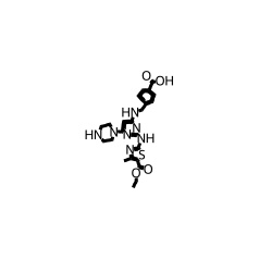 CCOC(=O)c1sc(Nc2nc(NCc3ccc(C(=O)O)cc3)cc(N3CCNCC3)n2)nc1C